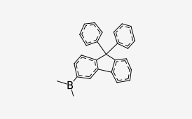 CB(C)c1ccc2c(c1)-c1ccccc1C2(c1ccccc1)c1ccccc1